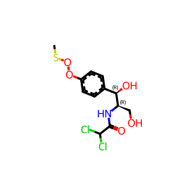 CSOOc1ccc([C@@H](O)[C@@H](CO)NC(=O)C(Cl)Cl)cc1